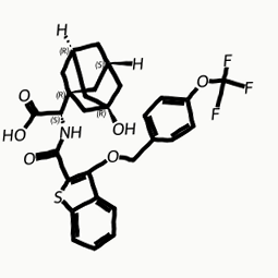 O=C(N[C@H](C(=O)O)[C@@]12C[C@@H]3C[C@@H](C[C@](O)(C3)C1)C2)c1sc2ccccc2c1OCc1ccc(OC(F)(F)F)cc1